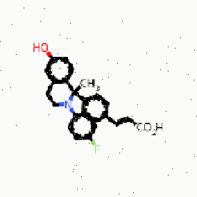 CC1(c2ccc(C=CC(=O)O)cc2)c2ccc(O)cc2CCN1c1ccc(F)cc1